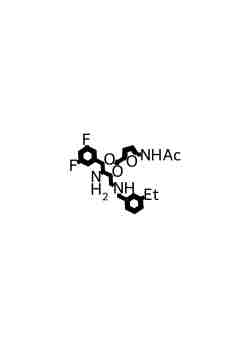 CCc1cccc(CNCC(OC(=O)c2ccc(NC(C)=O)o2)C(N)Cc2cc(F)cc(F)c2)c1